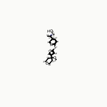 COC1(c2csc(Sc3ccc(/C(C)=N/O)cn3)c2)CCOCC1